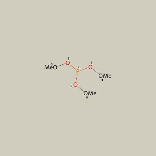 COOP(OOC)OOC